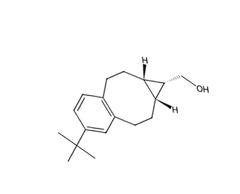 CC(C)(C)c1ccc2c(c1)CC[C@H]1[C@@H](CO)[C@H]1CC2